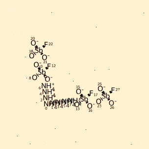 [NH4+].[NH4+].[NH4+].[NH4+].[NH4+].[NH4+].[NH4+].[NH4+].[O]=[Sb]([O-])([O-])[F].[O]=[Sb]([O-])([O-])[F].[O]=[Sb]([O-])([O-])[F].[O]=[Sb]([O-])([O-])[F]